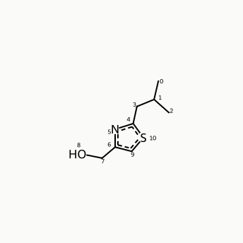 CC(C)Cc1nc(CO)cs1